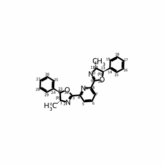 C[C@H]1N=C(c2cccc(C3=N[C@H](C)[C@@H](c4ccccc4)O3)n2)O[C@@H]1c1ccccc1